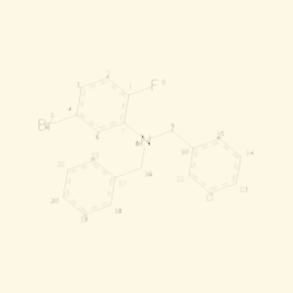 Fc1ccc(Br)cc1N(Cc1ccccc1)Cc1ccccc1